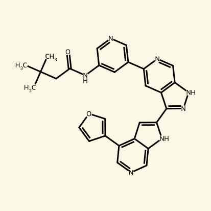 CC(C)(C)CC(=O)Nc1cncc(-c2cc3c(-c4cc5c(-c6ccoc6)cncc5[nH]4)n[nH]c3cn2)c1